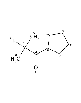 CC(C)(I)C(=O)C1CCCC1